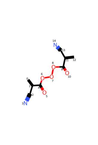 C=C(C#N)C(=O)OOOC(=O)C(=C)C#N